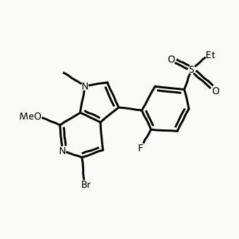 CCS(=O)(=O)c1ccc(F)c(-c2cn(C)c3c(OC)nc(Br)cc23)c1